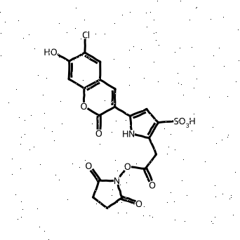 O=C(Cc1[nH]c(-c2cc3cc(Cl)c(O)cc3oc2=O)cc1S(=O)(=O)O)ON1C(=O)CCC1=O